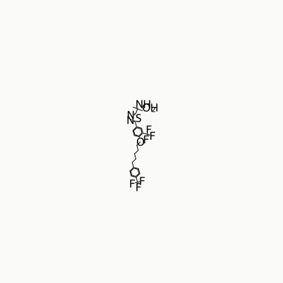 CC(N)(CO)c1nnc(-c2ccc(OCCCCCc3ccc(C(F)(F)F)cc3)c(C(F)(F)F)c2)s1